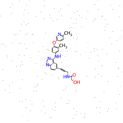 Cc1ccc(Oc2ccc(Nc3ncnc4ccc(C#CCNC(=O)CO)cc34)cc2C)cn1